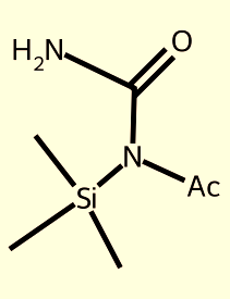 CC(=O)N(C(N)=O)[Si](C)(C)C